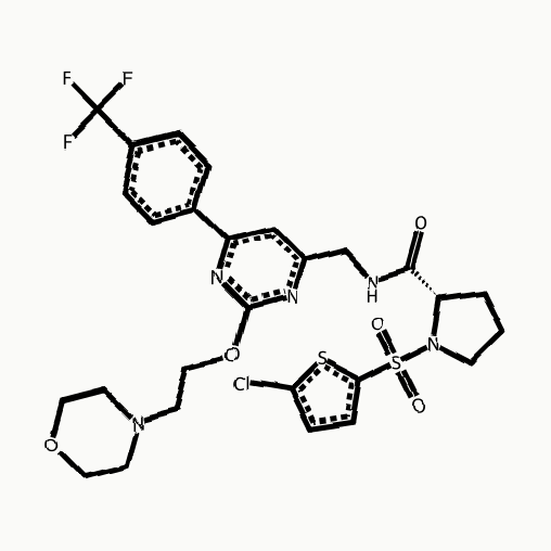 O=C(NCc1cc(-c2ccc(C(F)(F)F)cc2)nc(OCCN2CCOCC2)n1)[C@@H]1CCCN1S(=O)(=O)c1ccc(Cl)s1